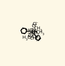 C[SiH](c1ccccc1)[Zr+2]([CH3])([CH3])([CH3])([CH3])[N](C1=CC=CC1)C(C)(C)C.[Cl-].[Cl-]